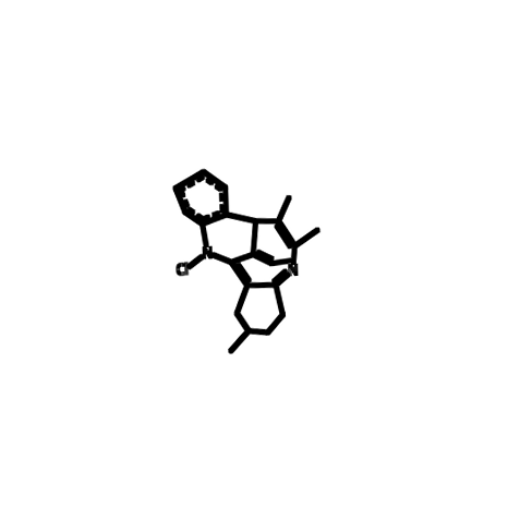 C/C=C1C2=C3CC(C)CC/C3=N/C(C)=C(/C)C/1c1ccccc1N2Cl